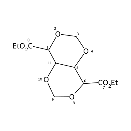 CCOC(=O)C1OCOC2C(C(=O)OCC)OCOC12